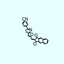 N#Cc1ccc(-c2nc3oc(C=C4C(=O)c5cc6ccccc6cc5C4=O)cc3s2)cc1